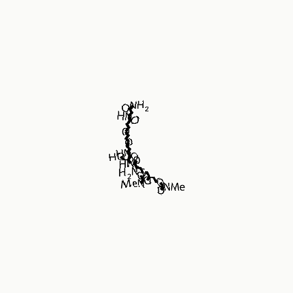 CNC(=O)OCC[C@H](CSC[C@H](N)C(=O)N[C@@H](CO)C(=O)NCCOCCOCCC(=O)NCC(N)=O)OC(=O)NC